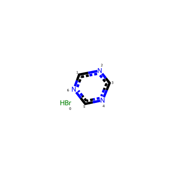 Br.c1ncncn1